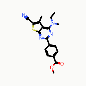 CCN(C)c1nc(-c2ccc(C(=O)OC)cc2)nc2sc(C#N)c(C)c12